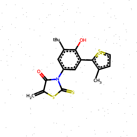 C=C1SC(=S)N(c2cc(-c3sccc3C)c(O)c(C(C)(C)C)c2)C1=O